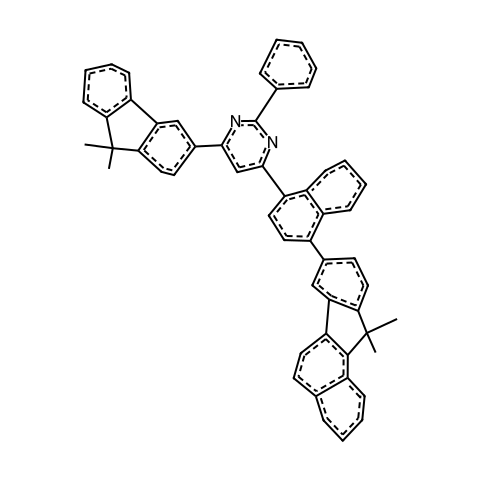 CC1(C)c2ccccc2-c2cc(-c3cc(-c4ccc(-c5ccc6c(c5)-c5ccc7ccccc7c5C6(C)C)c5ccccc45)nc(-c4ccccc4)n3)ccc21